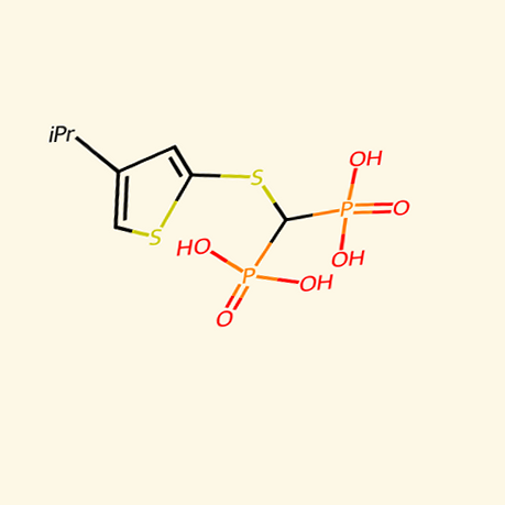 CC(C)c1csc(SC(P(=O)(O)O)P(=O)(O)O)c1